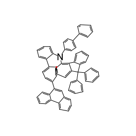 c1ccc(-c2ccc(N(c3ccccc3-c3ccc(-c4cc5ccccc5c5ccccc45)cc3)c3cccc4c3-c3ccccc3C4(c3ccccc3)c3ccccc3)cc2)cc1